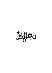 CCCC[C@H](NC(=O)OC(C)(C)C)C(=O)NCc1cccc(Cl)c1F